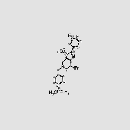 CCCCn1c(CN(CCC(C)C)Cc2ccc(N(C)C)cc2)cnc1-c1cccc(F)c1